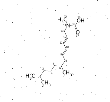 CC(C)CCCC(C)C/C=C/C=C/CN(C)C(=O)O